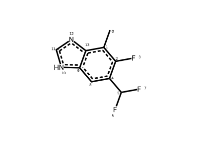 Cc1c(F)c(C(F)F)cc2[nH][c]nc12